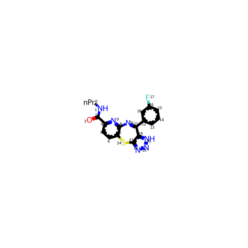 CCCNC(=O)c1ccc2c(n1)N=C(c1cccc(F)c1)c1[nH]nnc1S2